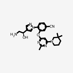 Cc1nc(Oc2cc(C#N)ccc2-n2cc([C@@H](O)CN)cn2)cc(N2CCCC(C)(C)C2)n1